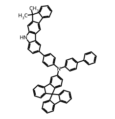 CC1(C)c2ccccc2-c2cc3c(cc21)[nH]c1ccc(-c2ccc(N(c4ccc(-c5ccccc5)cc4)c4ccc5c(c4)-c4ccccc4C54c5ccccc5-c5ccccc54)cc2)cc13